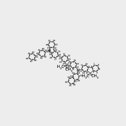 CC1(C)c2ccccc2-c2ccc(N(c3ccc4c(c3)C(C)(C)c3cc(-c5ccc6c(c5)c5ccccc5n6-c5ccc(-c6ccccc6)cc5)ccc3-4)c3ccc4ccccc4c3)cc21